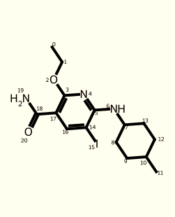 CCOc1nc(NC2CCC(C)CC2)c(I)cc1C(N)=O